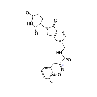 CO/N=C(\Cc1cccc(F)c1)C(=O)NCc1ccc2c(c1)CN(C1CCC(=O)NC1=O)C2=O